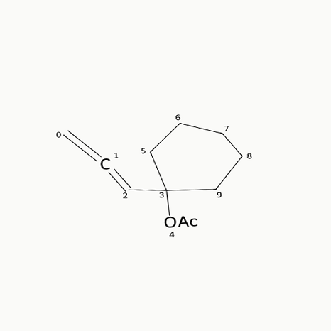 C=C=CC1(OC(C)=O)CCCCC1